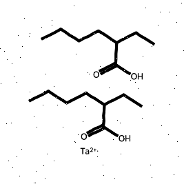 CCCCC(CC)C(=O)O.CCCCC(CC)C(=O)O.[Ta+2]